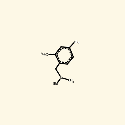 COc1cc(C(C)(C)C)ccc1CN(C)C(C)(C)C